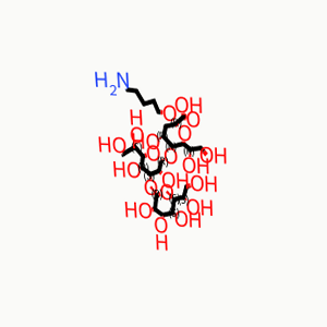 NCCCCCO[C@]1(C(=O)O)C[C@@H](O)[C@@H](O[C@H]2OC([C@@H](O)CO)[C@@H](O)[C@H](O[C@H]3O[C@@H]([C@@H](O)CO)[C@@H](O)C(O)C3O)C2O)C([C@H](O)CO)O1